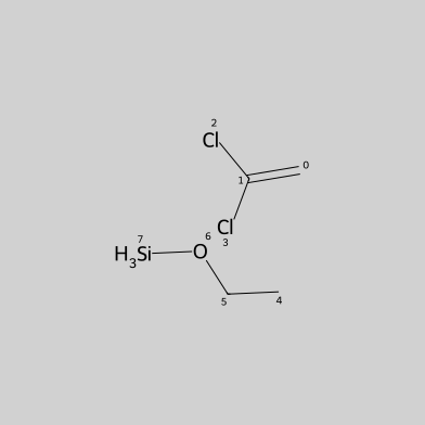 C=C(Cl)Cl.CCO[SiH3]